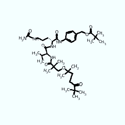 CC(C)C(NC(=O)C(C)(C)COC(C)(C)CCC(=O)C(C)(C)C)C(=O)N[C@H](CCCNC(N)=O)C(=O)Nc1ccc(COC(=O)C(C)(C)C)cc1